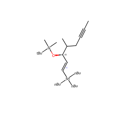 CC#CCC(C)[C@@H](/C=[CH]/[Sn]([CH2]CCC)([CH2]CCC)[CH2]CCC)O[Si](C)(C)C(C)(C)C